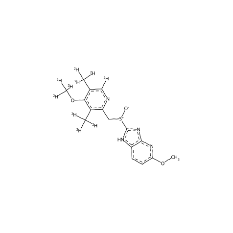 [2H]c1nc(C[S+]([O-])c2nc3nc(OC)ccc3[nH]2)c(C([2H])([2H])[2H])c(OC([2H])([2H])[2H])c1C([2H])([2H])[2H]